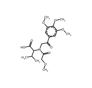 COCC(=O)N(CC(=O)c1cc(OC)c(OC)c(OC)c1)C(C(=O)O)C(C)C